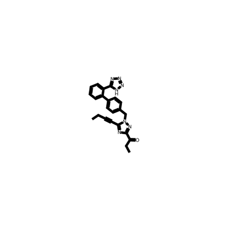 CCC#Cc1nc(C(=O)CC)nn1Cc1ccc(-c2ccccc2-c2nnn[nH]2)cc1